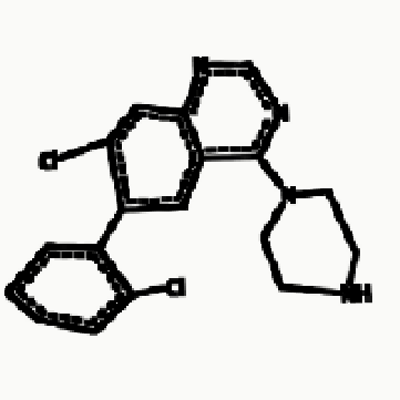 Clc1ccccc1-c1cc2c(N3CCNCC3)ncnc2cc1Cl